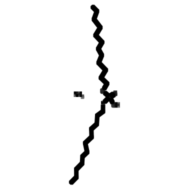 CCCCCCCCCCCCOP(O)(=S)SCCCCCCCCCCCC.N